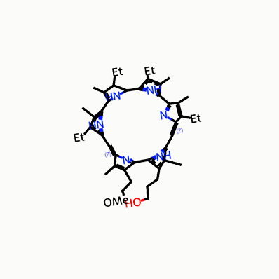 CCC1=C(C)C2=N/C1=C\c1[nH]c(c(CCCO)c1C)C1=N/C(=C\c3[nH]c(c(C)c3CC)C3=C(C)C(CC)C(N3)c3[nH]c2c(C)c3CC)C(C)=C1CCOC